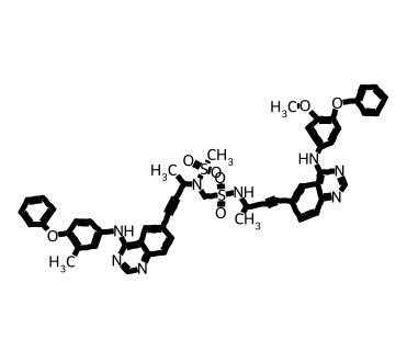 COc1cc(Nc2ncnc3ccc(C#CC(C)NS(=O)(=O)CN(C(C)C#Cc4ccc5ncnc(Nc6ccc(Oc7ccccc7)c(C)c6)c5c4)S(C)(=O)=O)cc23)ccc1Oc1ccccc1